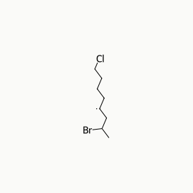 CC(Br)C[CH]CCCCCl